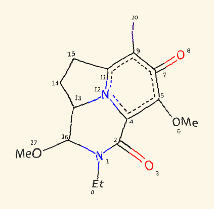 CCN1C(=O)c2c(OC)c(=O)c(I)c3n2C(CC3)C1OC